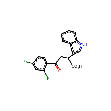 O=C(CC(C(=O)O)c1c[nH]c2ccccc12)c1ccc(F)cc1F